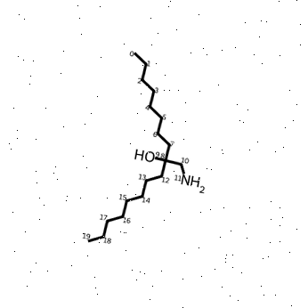 CCCCCCCCC(O)(CN)CCCCCCCC